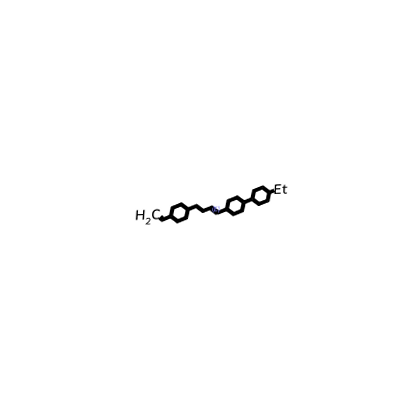 C=CC1CCC(CC/C=C/C2CCC(C3CCC(CC)CC3)CC2)CC1